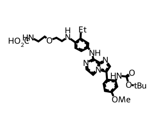 CCc1cc(Nc2nccn3c(-c4ccc(OC)cc4NC(=O)OC(C)(C)C)cnc23)ccc1NCCOCCNC(=O)O